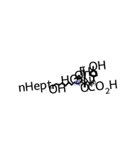 CCCCCCCC(O)CCCCCC/C=C/[C@H](C(=O)N[C@@H](Cc1ccc(O)cc1)C(=O)O)[C@]1(CCF)OC1O